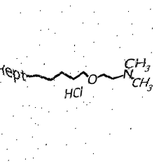 CCCCCCCCCCCCOCCN(C)C.Cl